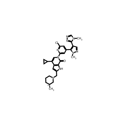 C[C@H]1CCCN(Cc2cc3c(C4CC4)cn(-c4cc(-c5c(-c6nncn6C)cnn5C)cc(Cl)n4)c(=O)c3[nH]2)C1